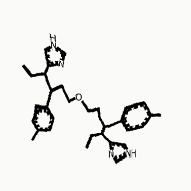 CCC(c1c[nH]cn1)C(CCOCCC(c1ccc(C)cc1)C(CC)c1c[nH]cn1)c1ccc(C)cc1